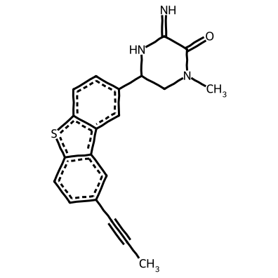 CC#Cc1ccc2sc3ccc(C4CN(C)C(=O)C(=N)N4)cc3c2c1